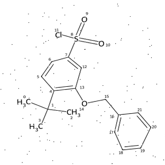 CC(C)(C)c1ccc(S(=O)(=O)Cl)cc1OCc1ccccc1